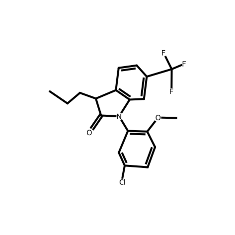 CCCC1C(=O)N(c2cc(Cl)ccc2OC)c2cc(C(F)(F)F)ccc21